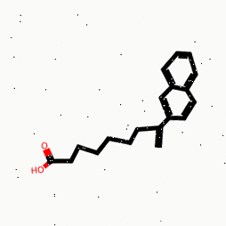 C=C(CCCCCCC(=O)O)c1ccc2ccccc2c1